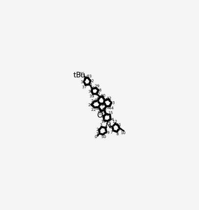 Cc1ccc(N(c2ccc(C)cc2)c2ccc3c(c2)oc2c4cccc5c(-c6ccc(-c7ccc(C(C)(C)C)cc7)cc6)cc6cccc(c32)c6c54)cc1